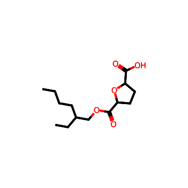 CCCCC(CC)COC(=O)C1CCC(C(=O)O)O1